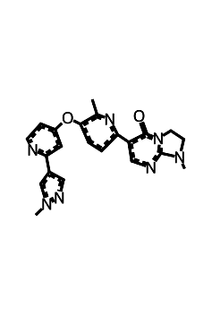 Cc1nc(-c2cnc3n(c2=O)CCN3C)ccc1Oc1ccnc(-c2cnn(C)c2)c1